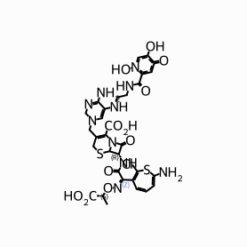 C[C@H](O/N=C(\C(=O)N[C@@H]1C(=O)N2C(C(=O)O)=C(CN3C=C(NCCNC(=O)c4cc(=O)c(O)cn4O)C(N)=NC3)CSC12)C1=C(Cl)SC(N)=CC=C1)C(=O)O